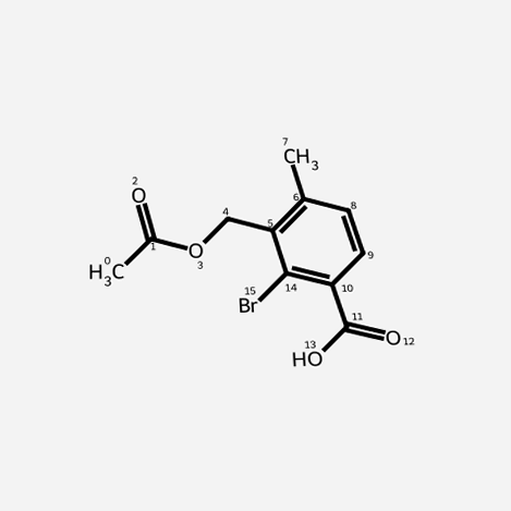 CC(=O)OCc1c(C)ccc(C(=O)O)c1Br